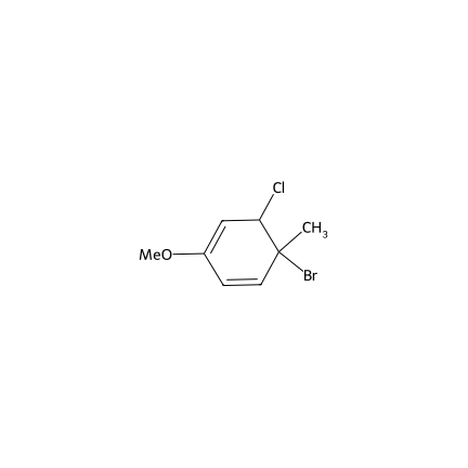 COC1=CC(Cl)C(C)(Br)C=C1